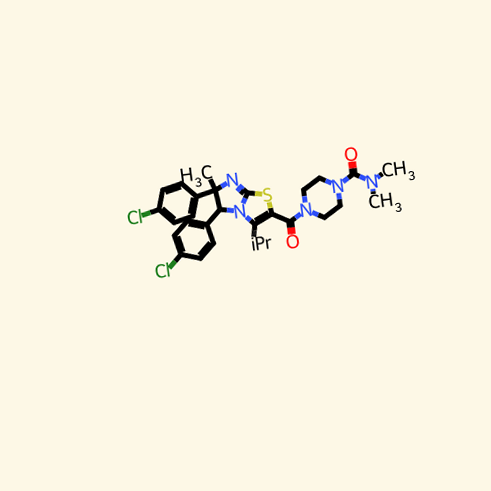 CC(C)C1=C(C(=O)N2CCN(C(=O)N(C)C)CC2)SC2=NC(C)(c3ccc(Cl)cc3)C(c3ccc(Cl)cc3)N21